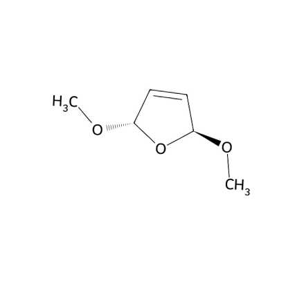 CO[C@@H]1C=C[C@@H](OC)O1